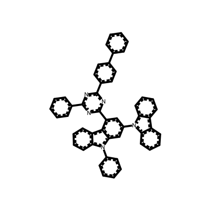 c1ccc(-c2ccc(-c3nc(-c4ccccc4)nc(-c4cc(-n5c6ccccc6c6ccccc65)cc5c4c4ccccc4n5-c4ccccc4)n3)cc2)cc1